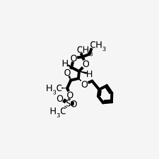 CCC1(C)O[C@H]2O[C@H]([C@@H](C)OS(C)(=O)=O)[C@@H](OCc3ccccc3)[C@H]2O1